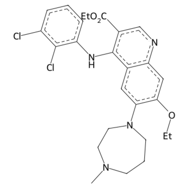 CCOC(=O)c1cnc2cc(OCC)c(N3CCCN(C)CC3)cc2c1Nc1cccc(Cl)c1Cl